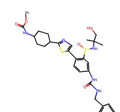 CC(C)OC(=O)NC1CCC(c2ncc(-c3ccc(NC(=O)NCc4ccccc4)cc3[S+]([O-])NC(C)(C)CO)s2)CC1